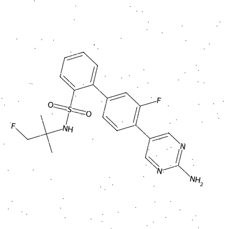 CC(C)(CF)NS(=O)(=O)c1ccccc1-c1ccc(-c2cnc(N)nc2)c(F)c1